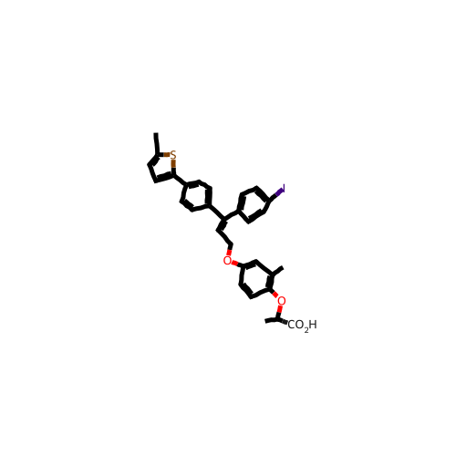 Cc1ccc(-c2ccc(C(=CCOc3ccc(OC(C)C(=O)O)c(C)c3)c3ccc(I)cc3)cc2)s1